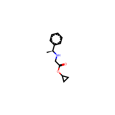 C[C@H](NCC(=O)OC1CC1)c1ccccc1